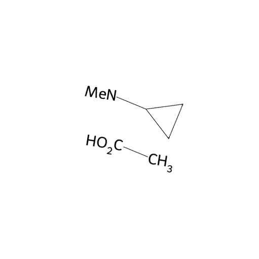 CC(=O)O.CNC1CC1